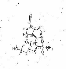 CC(C)(O)Cn1cc(S(N)(=O)=O)n(-c2cccc3c(C#N)c[nH]c23)c1=O